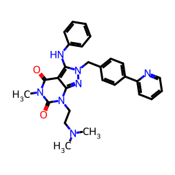 CN(C)CCn1c(=O)n(C)c(=O)c2c(Nc3ccccc3)n(Cc3ccc(-c4ccccn4)cc3)nc21